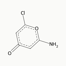 Nc1cc(=O)cc(Cl)o1